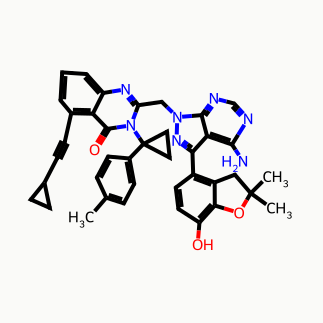 Cc1ccc(C2(n3c(Cn4nc(-c5ccc(O)c6c5CC(C)(C)O6)c5c(N)ncnc54)nc4cccc(C#CC5CC5)c4c3=O)CC2)cc1